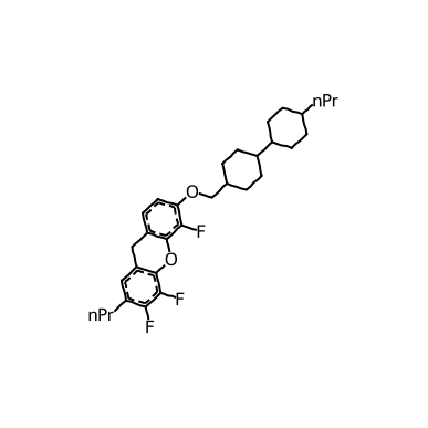 CCCc1cc2c(c(F)c1F)Oc1c(ccc(OCC3CCC(C4CCC(CCC)CC4)CC3)c1F)C2